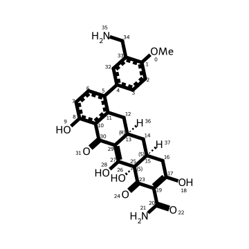 COc1ccc(-c2ccc(O)c3c2C[C@H]2C[C@H]4CC(O)=C(C(N)=O)C(=O)[C@@]4(O)C(O)=C2C3=O)cc1CN